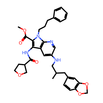 COC(=O)c1c(NC(=O)C2CCOC2)c2cc(NCC(C)Cc3ccc4c(c3)OCO4)cnc2n1CCCc1ccccc1